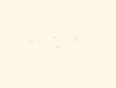 CC(C)Nc1cccc(-c2cnc3cc(C(=O)O)ccc3n2)c1